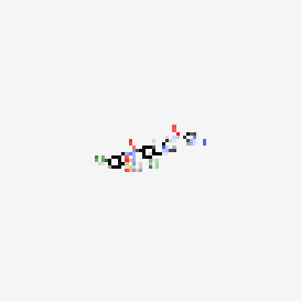 CCS(=O)(=O)c1ccc(Cl)cc1CNC(=O)c1cc(Cl)c(CN2CCN(C(=O)[C@@H]3CCNC3)CC2)c(C(F)(F)F)c1